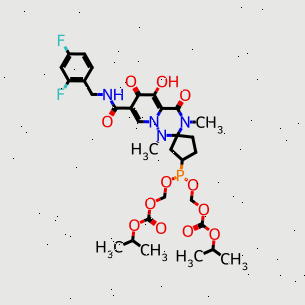 CC(C)OC(=O)OCOP(OCOC(=O)OC(C)C)C1CCC2(C1)N(C)C(=O)c1c(O)c(=O)c(C(=O)NCc3ccc(F)cc3F)cn1N2C